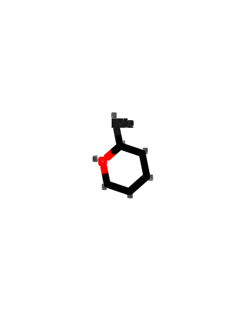 CNC1CCCCO1